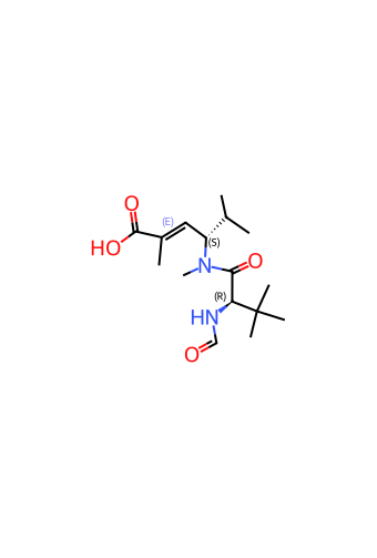 C/C(=C\[C@H](C(C)C)N(C)C(=O)[C@H](NC=O)C(C)(C)C)C(=O)O